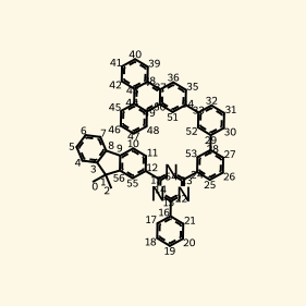 CC1(C)c2ccccc2-c2ccc(-c3nc(-c4ccccc4)nc(-c4cccc(-c5cccc(-c6ccc7c8ccccc8c8ccccc8c7c6)c5)c4)n3)cc21